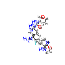 Cc1c(-c2cc3cc(NC(=O)NC4CCCOC4)ncc3c(N)c2F)cnc2c1NCCO2